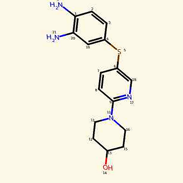 Nc1ccc(Sc2ccc(N3CCC(O)CC3)nc2)cc1N